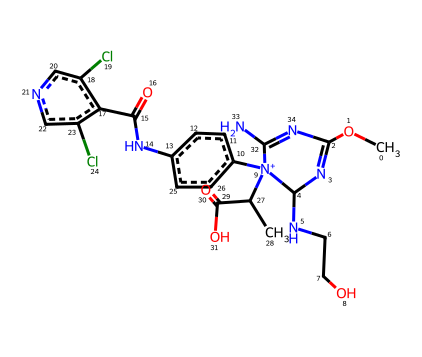 COC1=NC(NCCO)[N+](c2ccc(NC(=O)c3c(Cl)cncc3Cl)cc2)(C(C)C(=O)O)C(N)=N1